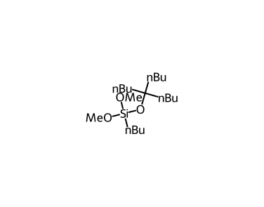 CCCCC(CCCC)(CCCC)O[Si](CCCC)(OC)OC